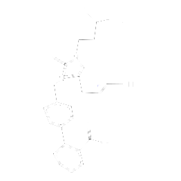 C/C=C/Cc1cn(CCC(C)C)c(=O)n1Cc1ccc(-c2ccccc2C(=O)O)cc1